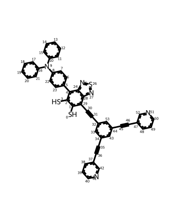 Sc1c(S)c(-c2ccc(N(c3ccccc3)c3ccccc3)cc2)c2nsnc2c1C#Cc1cc(C#Cc2cccnc2)cc(C#Cc2cccnc2)c1